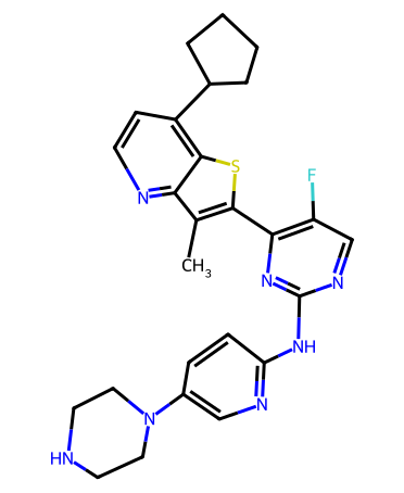 Cc1c(-c2nc(Nc3ccc(N4CCNCC4)cn3)ncc2F)sc2c(C3CCCC3)ccnc12